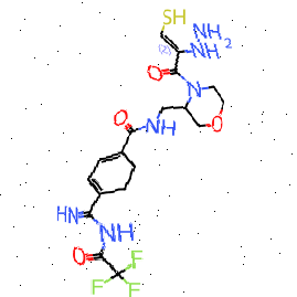 N=C(NC(=O)C(F)(F)F)C1=CC=C(C(=O)NCC2COCCN2C(=O)/C(=C/S)NN)CC1